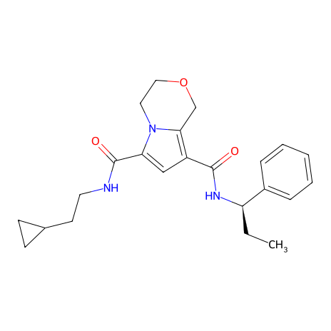 CC[C@@H](NC(=O)c1cc(C(=O)NCCC2CC2)n2c1COCC2)c1ccccc1